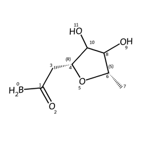 BC(=O)C[C@H]1O[C@@H](C)C(O)C1O